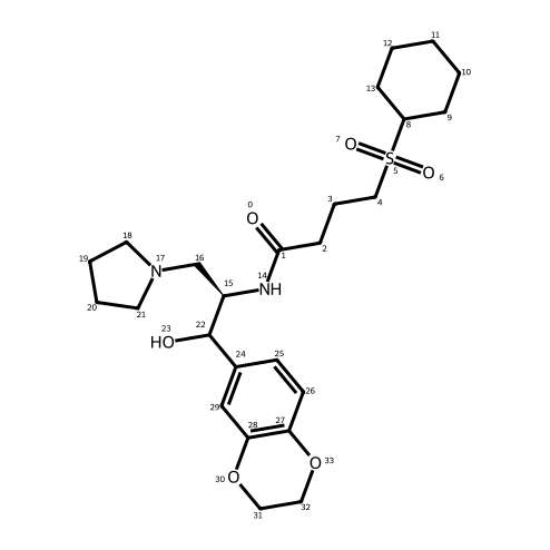 O=C(CCCS(=O)(=O)C1CCCCC1)N[C@H](CN1CCCC1)C(O)c1ccc2c(c1)OCCO2